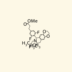 COC(=O)CCc1cc(F)c(C2c3cc4c(cc3CC(C)N2CC(C)(C)F)OCCO4)c(F)c1